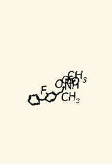 CC(C(=O)NS(C)(=O)=O)c1ccc(-c2ccccc2)c(F)c1